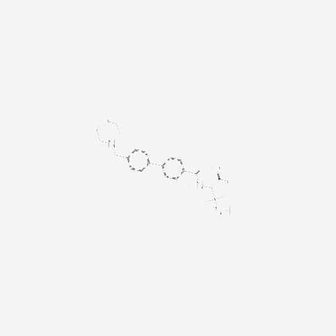 COC(=O)C(NC(=O)c1ccc(-c2ccc(CN3CCOCC3)cc2)cc1)C(C)(C)N